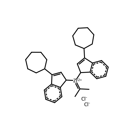 C[C](C)=[Zr+2]([CH]1C=C(C2CCCCCC2)c2ccccc21)[CH]1C=C(C2CCCCCC2)c2ccccc21.[Cl-].[Cl-]